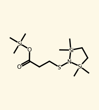 C[Si](C)(C)OC(=O)CCSN1[Si](C)(C)CC[Si]1(C)C